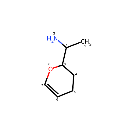 CC(N)C1CCC=CO1